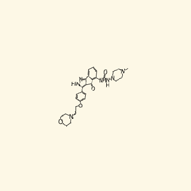 CN1CCN(NC(=O)Nc2cccc3c2C(=O)c2c-3n[nH]c2-c2ccc(OCCN3CCOCC3)cc2)CC1